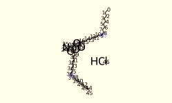 CCCCCCCC/C=C\CCCCCCCC(=O)OC(CCN(C)C)OC(=O)CCCCCCC/C=C\CCCCCCCC.Cl